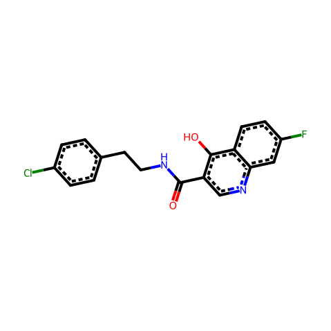 O=C(NCCc1ccc(Cl)cc1)c1cnc2cc(F)ccc2c1O